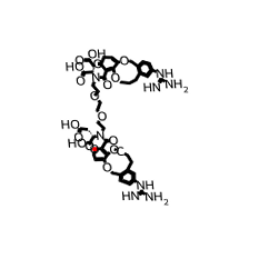 N=C(N)Nc1ccc2c(c1)CCCOC1=C(C(=O)N(CCOCCOCCN(C(=O)C3=C4OCCCc5cc(NC(=N)N)ccc5COC4=CCC3=O)[C@@H](CC(=O)O)C(=O)O)[C@@H](CC(=O)O)C(=O)O)C(=O)CC=C1OC2